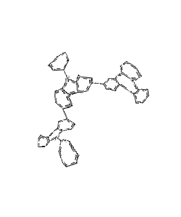 c1ccc(-n2c3ccccc3c3cc(-c4ccc5c(c4)c4cc(-c6ccc7c8ccccc8c8ccccc8c7c6)ccc4n5-c4ccccc4)ccc32)cc1